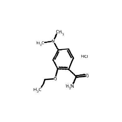 CCOc1cc(N(C)C)ccc1C(N)=O.Cl